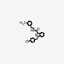 Cc1cccc(CCNC(=O)c2nn(Cc3ccc(Cl)cc3)c3ccccc23)c1